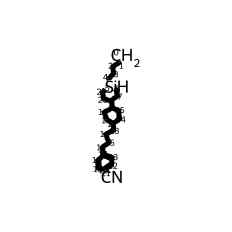 C=CCCC[SiH]1CCC(C2CCC(CCCCc3ccc(C#N)cc3)CC2)CC1